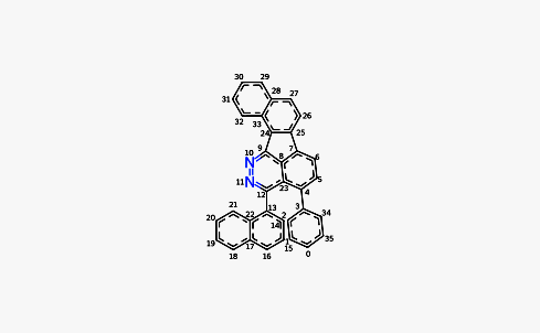 c1ccc(-c2ccc3c4c(nnc(-c5cccc6ccccc56)c24)-c2c-3ccc3ccccc23)cc1